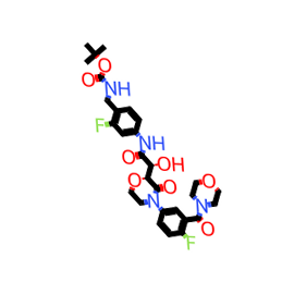 CC(C)(C)OC(=O)NCc1ccc(NC(=O)[C@H](O)[C@H]2OCCN(c3ccc(F)c(C(=O)N4CCOCC4)c3)C2=O)cc1F